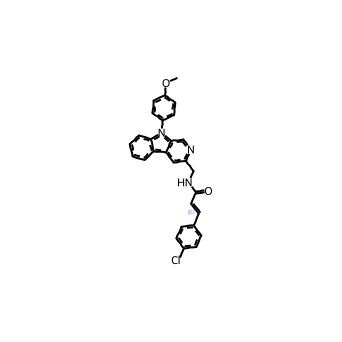 COc1ccc(-n2c3ccccc3c3cc(CNC(=O)/C=C/c4ccc(Cl)cc4)ncc32)cc1